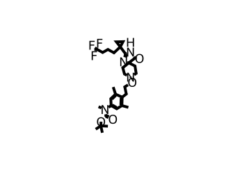 Cc1cc(N(C)C(=O)OC(C)(C)C)cc(C)c1CCON1CCC2(CC1)N=C(C1(CCCC(F)(F)F)CC1)NC2=O